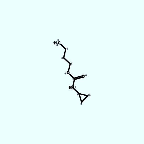 [CH2]CCCOC(=O)NC1CC1